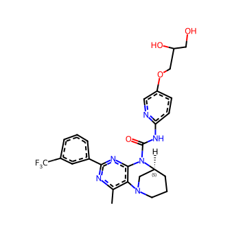 Cc1nc(-c2cccc(C(F)(F)F)c2)nc2c1N1CCC[C@@H](C1)N2C(=O)Nc1ccc(OCC(O)CO)cn1